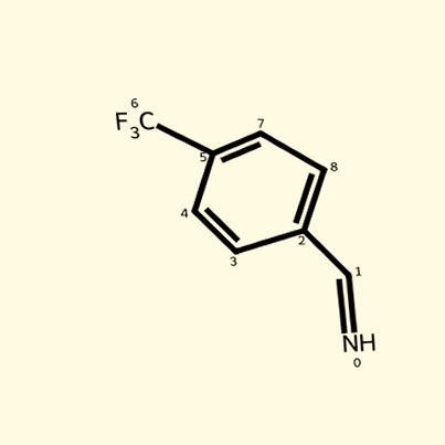 N=Cc1ccc(C(F)(F)F)cc1